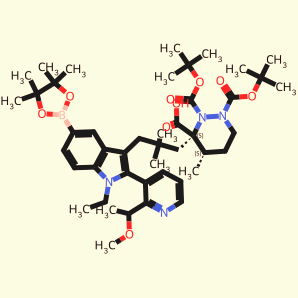 CCn1c(-c2cccnc2C(C)OC)c(CC(C)(C)C[C@@]2(C(=O)O)[C@@H](C)CCN(C(=O)OC(C)(C)C)N2C(=O)OC(C)(C)C)c2cc(B3OC(C)(C)C(C)(C)O3)ccc21